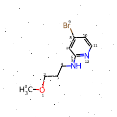 COCCCNc1cc(Br)ccn1